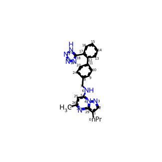 CCCc1cnn2c(NCc3ccc(-c4ccccc4-c4nnn[nH]4)cc3)cc(C)nc12